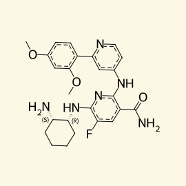 COc1ccc(-c2cc(Nc3nc(N[C@@H]4CCCC[C@@H]4N)c(F)cc3C(N)=O)ccn2)c(OC)c1